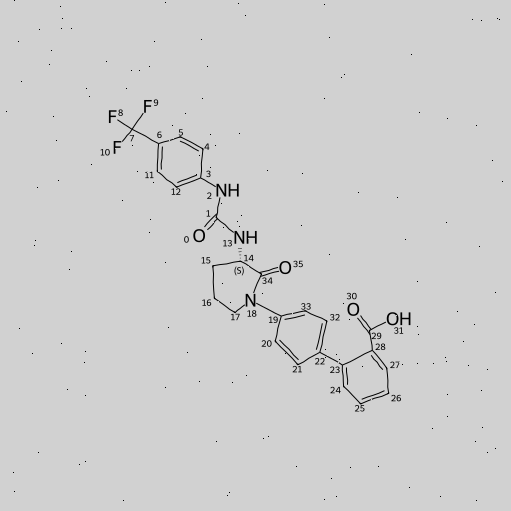 O=C(Nc1ccc(C(F)(F)F)cc1)N[C@H]1CCCN(c2ccc(-c3ccccc3C(=O)O)cc2)C1=O